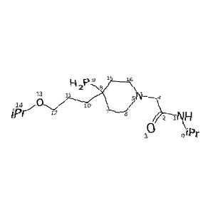 CC(C)NC(=O)CN1CCC(P)(CCCOC(C)C)CC1